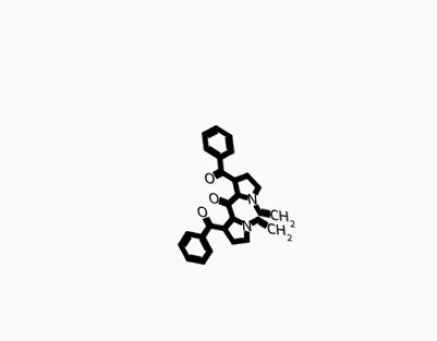 C=CN1CCC(C(=O)c2ccccc2)C1C(=O)C1C(C(=O)c2ccccc2)CCN1C=C